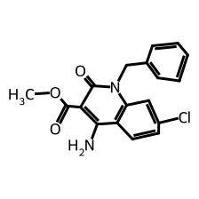 COC(=O)c1c(N)c2ccc(Cl)cc2n(Cc2ccccc2)c1=O